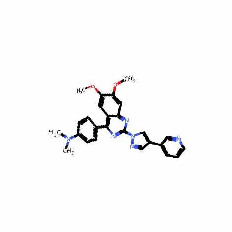 COc1cc2nc(-n3cc(-c4cccnc4)cn3)nc(-c3ccc(N(C)C)cc3)c2cc1OC